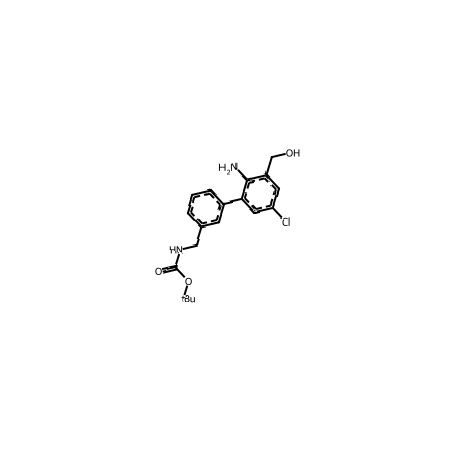 CC(C)(C)OC(=O)NCc1cccc(-c2cc(Cl)cc(CO)c2N)c1